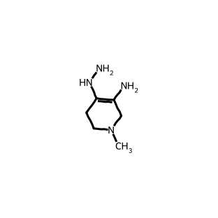 CN1CCC(NN)=C(N)C1